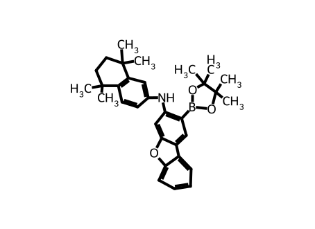 CC1(C)CCC(C)(C)c2cc(Nc3cc4oc5ccccc5c4cc3B3OC(C)(C)C(C)(C)O3)ccc21